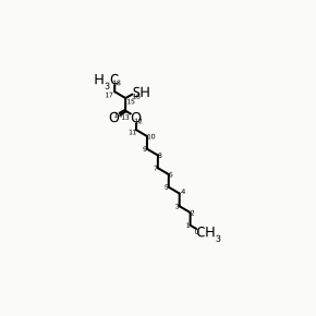 CCCCCCCCCCCCOC(=O)C(S)CC